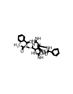 CC(=O)N(C[C@@H]1NC(=N)N2CC(NC(=O)c3ccccc3)C(O)(O)C23NC(=N)NC13)C(=O)c1ccccc1